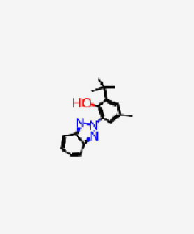 Cc1cc(-n2nc3ccccc3n2)c(O)c(C(C)(C)C)c1